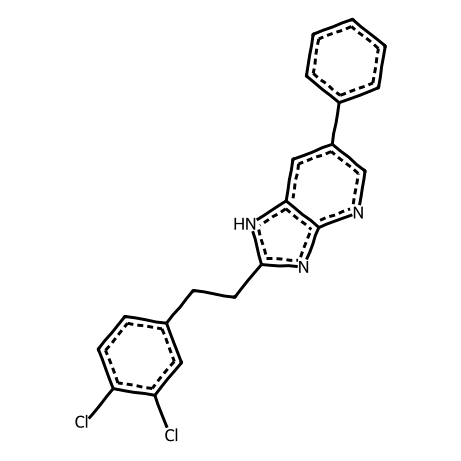 Clc1ccc(CCc2nc3ncc(-c4ccccc4)cc3[nH]2)cc1Cl